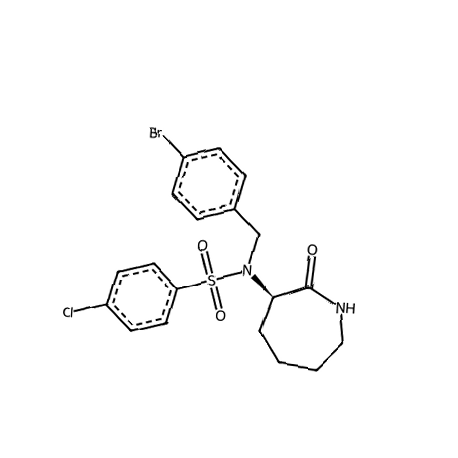 O=C1NCCCC[C@H]1N(Cc1ccc(Br)cc1)S(=O)(=O)c1ccc(Cl)cc1